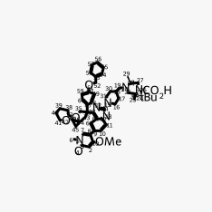 COc1cc(=O)n(C)cc1-c1ccc2nc(N3CCC(CN4C[C@@](C)(C(C)(C)C)N(C(=O)O)C[C@@H]4C)CC3)nc(C(COC3CCCCO3)(CC3CC3)c3ccc(OCc4ccccc4)cc3)c2c1